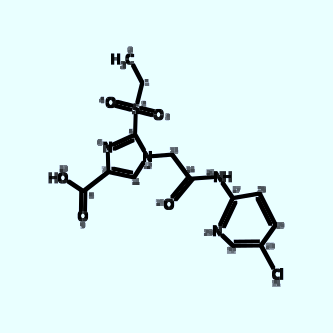 CCS(=O)(=O)c1nc(C(=O)O)cn1CC(=O)Nc1ccc(Cl)cn1